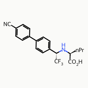 CCC[C@H](N[C@@H](c1ccc(-c2ccc(C#N)cc2)cc1)C(F)(F)F)C(=O)O